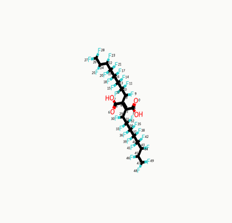 O=C(O)C(=C(C(=O)O)C(F)C(F)(F)C(F)(F)C(F)(F)C(F)(F)C(F)C(F)C(F)F)C(F)C(F)(F)C(F)(F)C(F)(F)C(F)(F)C(F)C(F)C(F)F